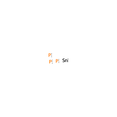 [P].[P].[P].[Sn]